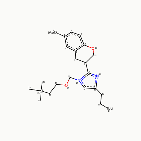 COc1ccc2c(c1)CC(c1nc(CCC(C)(C)C)cn1COCC[Si](C)(C)C)CO2